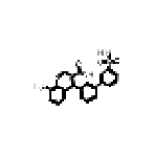 NC(=O)c1cnc2c(C(F)(F)F)cccc2c1-c1cccc(-c2cccc(S(N)(=O)=O)c2)c1